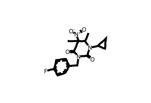 CC1N(C2CC2)C(=O)N(Cc2ccc(F)cc2)C(=O)C1(C)[N+](=O)[O-]